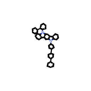 c1ccc(-c2ccc(-c3ccc(-n4c5ccccc5c5cc6c(cc54)c4ccccc4n6-c4ccccc4-c4ccccc4)cc3)cc2)cc1